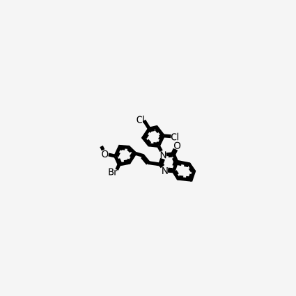 COc1ccc(C=Cc2nc3ccccc3c(=O)n2-c2ccc(Cl)cc2Cl)cc1Br